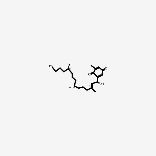 CC1=CC(=O)C=C(C(O)/C=C(\C)CCC[C@H](C)CCC[C@H](C)CCCC(C)C)C1=O